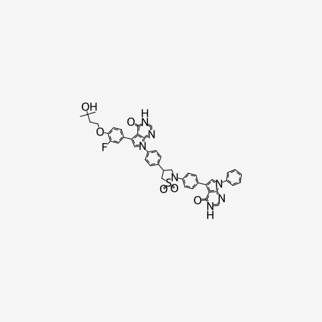 CC(C)(O)CCOc1ccc(-c2cn(-c3ccc(C4CN(c5ccc(-c6cn(-c7ccccc7)c7nc[nH]c(=O)c67)cc5)S(=O)(=O)C4)cc3)c3nc[nH]c(=O)c23)cc1F